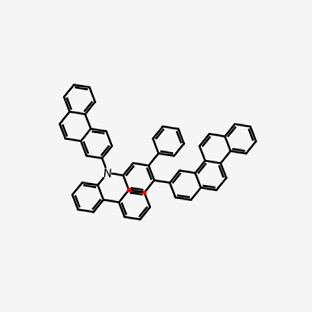 c1ccc(-c2cc(N(c3ccc4c(ccc5ccccc54)c3)c3ccccc3-c3ccccc3)ccc2-c2ccc3ccc4c5ccccc5ccc4c3c2)cc1